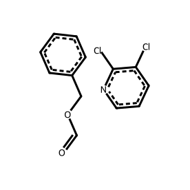 Clc1cccnc1Cl.O=COCc1ccccc1